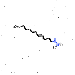 CCCCCCCCCCCCCCCCCCCCNN(CC)CC